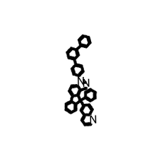 c1ccc(-c2cccc(-c3ccc(-n4ncc5c6c(ccc54)-c4ccccc4C6(c4ccccc4)c4ccc5ncccc5c4)cc3)c2)cc1